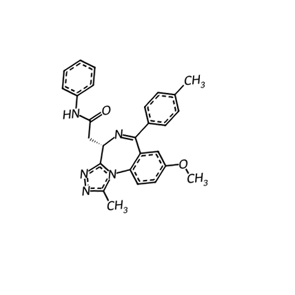 COc1ccc2c(c1)C(c1ccc(C)cc1)=N[C@@H](CC(=O)Nc1ccccc1)c1nnc(C)n1-2